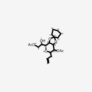 C=CCC1O[C@@H]([C@H](O)COC(C)=O)C2OC3(CCCCC3)OC2C1OC(C)=O